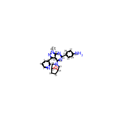 CCn1nc(-c2cccnc2)c2c(N3CC4CCC(C3)O4)nc(-c3ccc(N)cc3)nc21